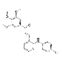 COc1cc(C(=O)/C=C/c2cccnc2Nc2ccc(O)cc2)cc(OC)c1OC